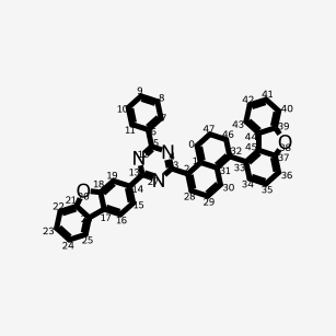 C1=c2c(-c3nc(-c4ccccc4)nc(-c4ccc5c(c4)oc4ccccc45)n3)cccc2=C(c2cccc3oc4ccccc4c23)CC1